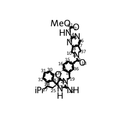 COC(=O)Nc1ncc2c(n1)CN(C(=O)c1cccc(CN3C(=N)N[C@](CCC(C)C)(c4ccccc4)C3=O)c1)C2